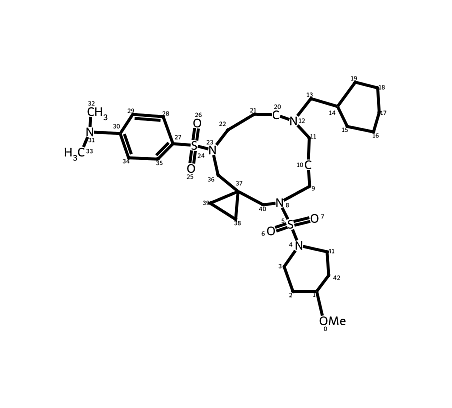 COC1CCN(S(=O)(=O)N2CCCN(CC3CCCCC3)CCCN(S(=O)(=O)c3ccc(N(C)C)cc3)CC3(CC3)C2)CC1